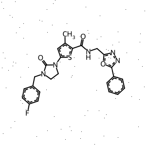 Cc1cc(N2CCN(Cc3ccc(F)cc3)C2=O)sc1C(=O)NCc1nnc(-c2ccccc2)o1